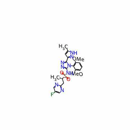 COc1cccc(OC)c1-n1c(NS(=O)(=O)[C@H](C)Cc2ncc(F)cn2)nnc1-c1cc(C)[nH]n1